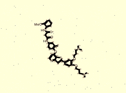 COc1ccccc1NC(=O)CC(=O)Nc1ccc(Oc2ccnc3cc(-c4ccc(OCCCN(C)C)c(OCCCN(C)C)c4)sc23)c(F)c1